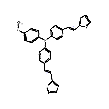 COc1ccc(N(c2ccc(/C=C/c3cccs3)cc2)c2ccc(/C=C/c3cccs3)cc2)cc1